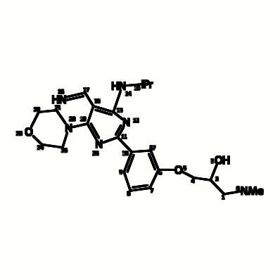 CNCC(O)COc1cccc(-c2nc(NC(C)C)c(C=N)c(N3CCOCC3)n2)c1